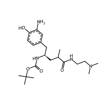 CC(C[C@H](Cc1ccc(O)c(N)c1)NC(=O)OC(C)(C)C)C(=O)NCCN(C)C